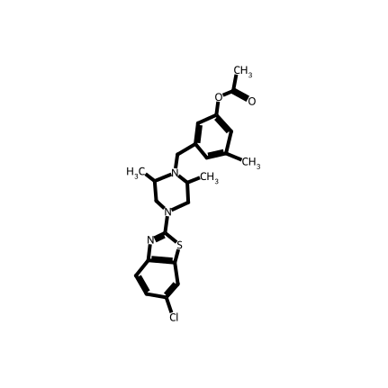 CC(=O)Oc1cc(C)cc(CN2C(C)CN(c3nc4ccc(Cl)cc4s3)CC2C)c1